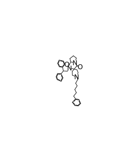 O=C1C2CCCN2C(=O)C2(CCN(CCCCCCc3ccccc3)CC2)N1CC(c1ccccc1)c1ccccc1